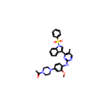 COc1cc(N2CCN(C(C)=O)CC2)ccc1Nc1ncc(C)c(-c2cn(S(=O)(=O)c3ccccc3)c3ccccc23)n1